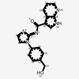 O=C(/N=c1\sccn1-c1ccc(CO)cc1)c1c[nH]c2ncccc12